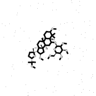 COC[C@H]1O[C@@H](OC2C[C@@H]3C4(CC[C@]5(C)[C@@H]([C@@]6(C)CC[C@@H](C(C)(C)OC)O6)[C@@H](OC)C[C@@]35C)C[C@@]43CCC(OC)C(C)(C)[C@H]23)C(OC)[C@@H](OC)[C@@H]1OC